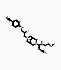 COCCN/C(=N\C#N)N1CC2CC(CN(CC(O)COc3ccc(C#N)cc3)C2)C1